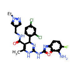 CCn1cc(CNC(=O)C2=C(C)NC(Nc3nc4ccc(F)c(N)c4o3)=NC2c2ccc(Cl)cc2Cl)cn1